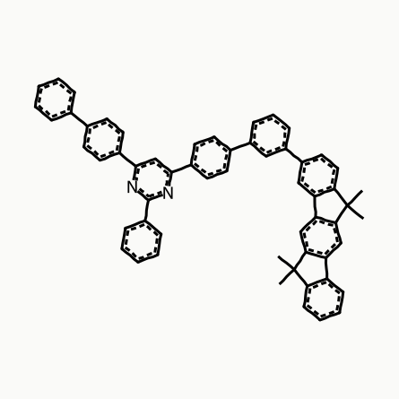 CC1(C)c2ccccc2-c2cc3c(cc21)-c1cc(-c2cccc(-c4ccc(-c5cc(-c6ccc(-c7ccccc7)cc6)nc(-c6ccccc6)n5)cc4)c2)ccc1C3(C)C